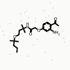 CCCC(C)(C)OCCC(C)(C)NC(=O)COc1ccc(C(C)=O)c(N)c1